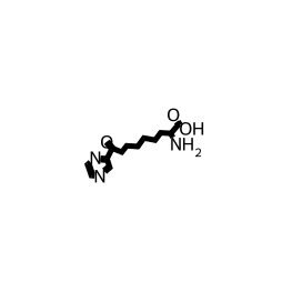 NC(CCCCCCC(=O)c1cnccn1)C(=O)O